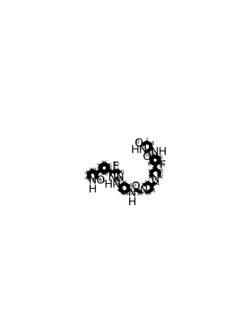 O=C1CCC(Nc2ccc(C3CCN(CC4CCN(CC(=O)N[C@H]5CC[C@H](Nc6ncc(F)c(-c7cccc(-c8ccc[nH]c8=O)c7)n6)CC5)CC4)CC3)c(F)c2)C(=O)N1